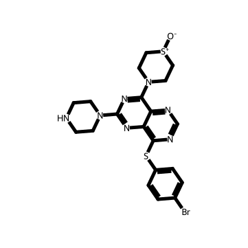 [O-][S+]1CCN(c2nc(N3CCNCC3)nc3c(Sc4ccc(Br)cc4)ncnc23)CC1